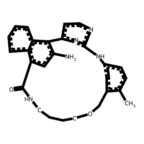 Cc1ccc2cc1COCCCCNC(=O)c1cc(N)c(c3ccccc13)-c1ccnc(n1)N2